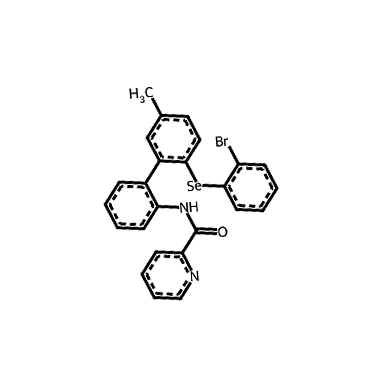 Cc1ccc([Se]c2ccccc2Br)c(-c2ccccc2NC(=O)c2ccccn2)c1